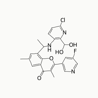 Cc1cc(C(C)Nc2ccc(Cl)nc2C(O)O)c2oc(-c3cncc(F)c3)c(C)c(=O)c2c1